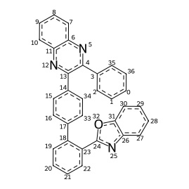 c1ccc(-c2nc3ccccc3nc2-c2ccc(-c3ccccc3-c3nc4ccccc4o3)cc2)cc1